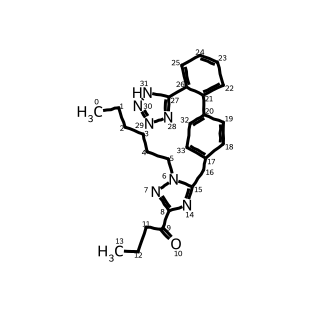 CCCCCCn1nc(C(=O)CCC)nc1Cc1ccc(-c2ccccc2-c2nnn[nH]2)cc1